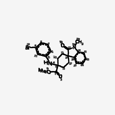 COC(=O)C1(Nc2cccc(Br)c2)CCC2(CC1)C(=O)N(C)c1ccccc12